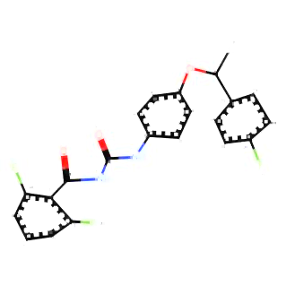 CC(C)C(Oc1ccc(NC(=O)NC(=O)c2c(F)cccc2F)cc1)c1ccc(F)cc1